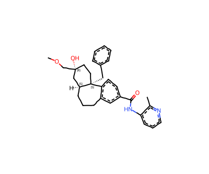 COC[C@@]1(O)CC[C@@]2(Cc3ccccc3)c3ccc(C(=O)Nc4cccnc4C)cc3CCC[C@H]2C1